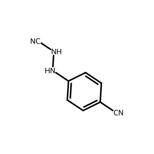 N#CNNc1ccc(C#N)cc1